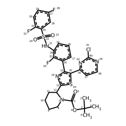 CC(C)(C)OC(=O)N1CCCCC1c1nc(-c2cccc(NS(=O)(=O)c3cc(F)ccc3F)c2F)c(-c2ccnc(Cl)n2)s1